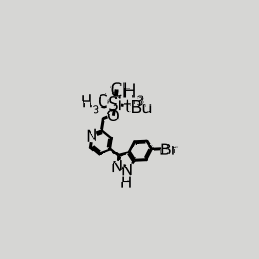 CC(C)(C)[Si](C)(C)OCc1cc(-c2n[nH]c3cc(Br)ccc23)ccn1